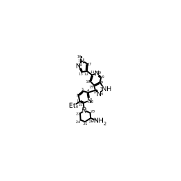 CCc1ccc(-c2n[nH]c3cnc(-c4cnn(C)c4)cc23)nc1N1CCCC(N)C1